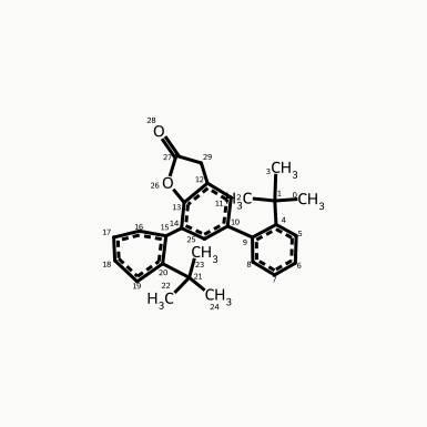 CC(C)(C)c1ccccc1-c1cc2c(c(-c3ccccc3C(C)(C)C)c1)OC(=O)C2